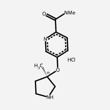 CNC(=O)c1ccc(O[C@]2(C)CCNC2)cn1.Cl